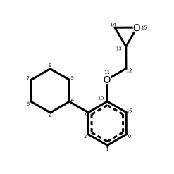 c1ccc(C2CCCCC2)c(OCC2CO2)c1